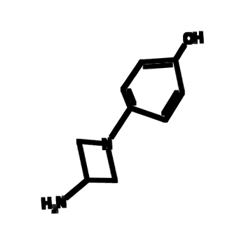 NC1CN(c2ccc(O)cc2)C1